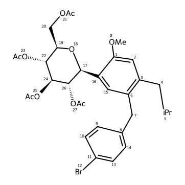 COc1cc(CC(C)C)c(Cc2ccc(Br)cc2)cc1[C@@H]1O[C@H](COC(C)=O)[C@@H](OC(C)=O)[C@H](OC(C)=O)[C@H]1OC(C)=O